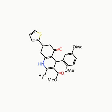 COC(=O)C1=C(C)NC2=C(C(=O)CC(c3cccs3)C2)C1c1cc(OC)ccc1OC